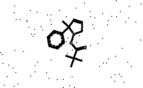 CC(C)(C)C(=O)ON1CC=CC1(C)c1ccccc1